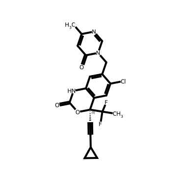 Cc1cc(=O)n(Cc2cc3c(cc2Cl)[C@@](C#CC2CC2)(C(C)(F)F)OC(=O)N3)cn1